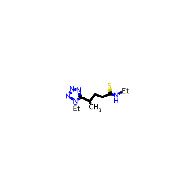 CCNC(=S)CCC(C)c1nnnn1CC